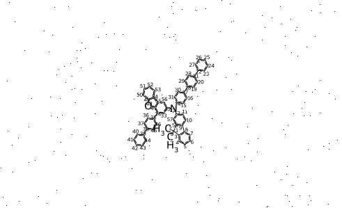 CC1(C)c2ccccc2-c2ccc(N(c3ccc(-c4ccc(-c5ccccc5)cc4)cc3)c3cc(-c4ccc(-c5ccccc5)cc4)c4oc5ccccc5c4c3)cc21